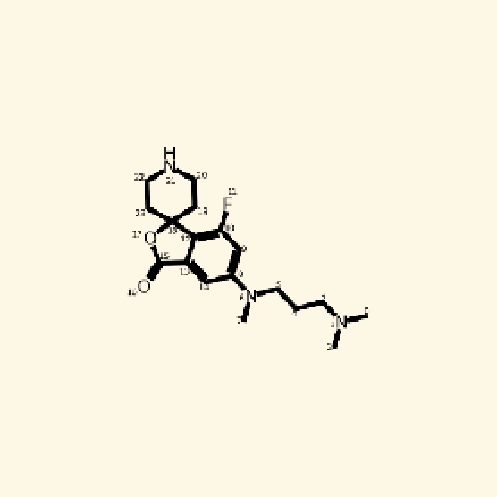 CN(C)CCCN(C)c1cc(F)c2c(c1)C(=O)OC21CCNCC1